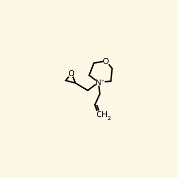 C=CC[N+]1(CC2CO2)CCOCC1